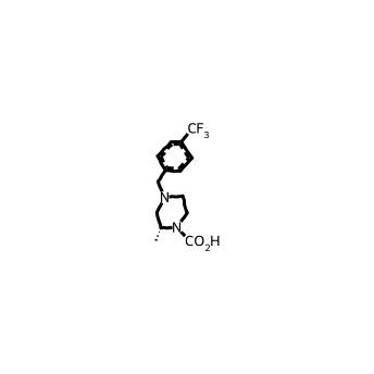 C[C@@H]1CN(Cc2ccc(C(F)(F)F)cc2)CCN1C(=O)O